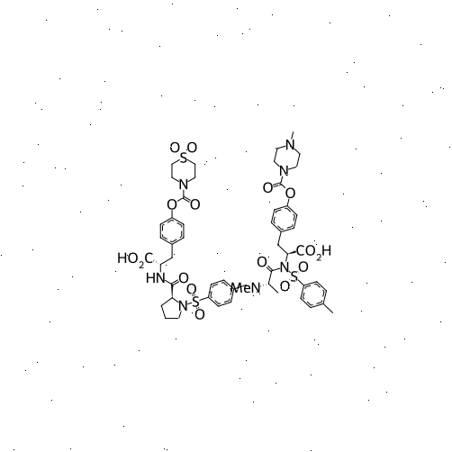 CN[C@@H](C)C(=O)N([C@@H](Cc1ccc(OC(=O)N2CCN(C)CC2)cc1)C(=O)O)S(=O)(=O)c1ccc(C)cc1.Cc1ccc(S(=O)(=O)N2CCC[C@H]2C(=O)N[C@@H](Cc2ccc(OC(=O)N3CCS(=O)(=O)CC3)cc2)C(=O)O)cc1